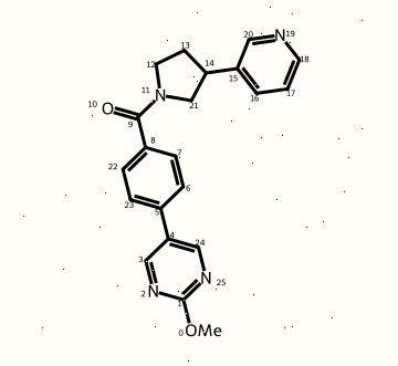 COc1ncc(-c2ccc(C(=O)N3CCC(c4cccnc4)C3)cc2)cn1